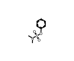 CN(C)S(=O)(=O)Oc1cc[c]cc1